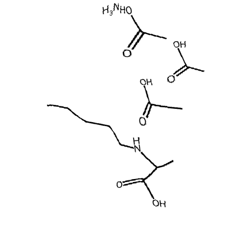 CC(=O)O.CC(=O)O.CC(=O)O.CCCCCNC(C)C(=O)O.N